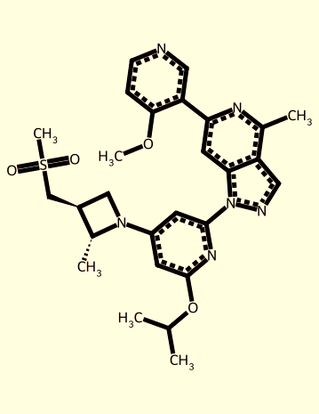 COc1ccncc1-c1cc2c(cnn2-c2cc(N3C[C@H](CS(C)(=O)=O)[C@H]3C)cc(OC(C)C)n2)c(C)n1